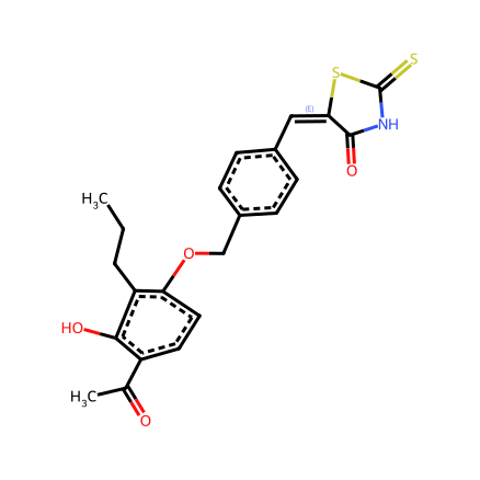 CCCc1c(OCc2ccc(/C=C3/SC(=S)NC3=O)cc2)ccc(C(C)=O)c1O